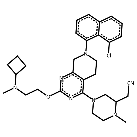 CN(CCOc1nc2c(c(N3CCN(C)C(CC#N)C3)n1)CCN(c1cccc3cccc(Cl)c13)C2)C1CCC1